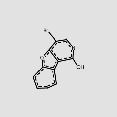 Oc1ncc(Br)c2oc3ccccc3c12